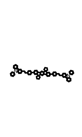 C(=C\c1ccc2c(c1)c1ccccc1n2-c1ccccc1)/c1ccc(-c2ccc3c(c2)C2(CCCC2)c2cc4c(cc2-3)C2(CCCC2)c2cc(-c3ccc(/C=C/c5ccc6c(c5)c5ccccc5n6-c5ccccc5)cc3)ccc2-4)cc1